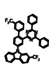 FC(F)(F)c1cccc(-c2ccc(-n3c4ccccc4c4ccc(C(F)(F)F)cc43)cc2-c2nc(-c3ccccc3)nc(-c3ccccc3)n2)c1